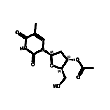 CC(=O)O[C@H]1C[C@H](n2cc(C)c(=O)[nH]c2=O)O[C@@H]1[CH]O